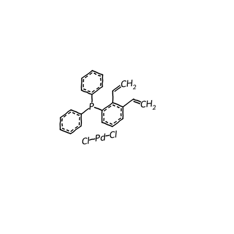 C=Cc1cccc(P(c2ccccc2)c2ccccc2)c1C=C.[Cl][Pd][Cl]